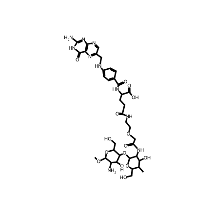 COC1OC(CO)C(OC2OC(CO)C(C)C(O)C2NC(=O)COCCNC(=O)CCC(NC(=O)c2ccc(NCc3cnc4nc(N)[nH]c(=O)c4n3)cc2)C(=O)O)C(O)C1N